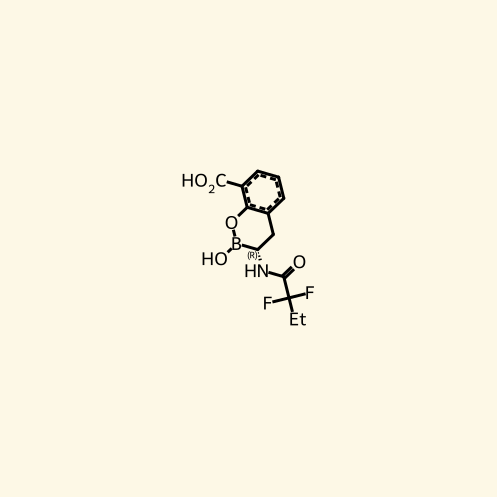 CCC(F)(F)C(=O)N[C@H]1Cc2cccc(C(=O)O)c2OB1O